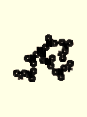 CC1(C)c2ccccc2-c2ccc(-n3c4ccccc4c4ccc(-c5ccc6c(c5)c5ccccc5n6-c5ccc(-c6nc(-c7cccc(-n8c9ccccc9c9cc(-c%10ccc%11c%12ccccc%12n(-c%12ccc%13c(c%12)C(C)(C)c%12ccccc%12-%13)c%11c%10)ccc98)c7)c7cc(-n8c9ccccc9c9cc(-c%10ccc%11c%12ccccc%12n(-c%12ccc%13c(c%12)C(C)(C)c%12ccccc%12-%13)c%11c%10)ccc98)ccc7n6)cc5)cc43)cc21